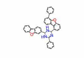 c1ccc(C2=NC(c3cccc4oc5c(-c6ccccc6)cccc5c34)NC(c3ccc4c(c3)oc3ccccc34)N2)cc1